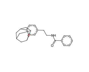 O=C(NCCc1ccc2c(c1)C1CC3CC(CC2C3)C1)c1ccccc1